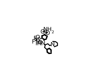 NS(=O)(=O)c1ccc(NC(CCN2CCCCC2)Cc2ccccc2)c(S(=O)(=O)C(F)(F)F)c1